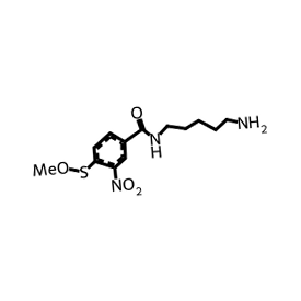 COSc1ccc(C(=O)NCCCCCN)cc1[N+](=O)[O-]